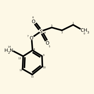 CCCCS(=O)(=O)Oc1ccccc1N